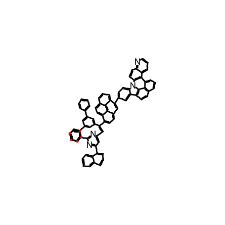 C(=C(/c1cc(-c2ccccc2)cc(-c2ccccc2)c1)c1ccc2cc(-c3ccc4c(c3)c3ccc5cccc6c7c8cccnc8ccc7n4c3c56)c3cccc4ccc1c2c43)/c1cc(-c2cccc3ccccc23)nc(-c2ccccc2)n1